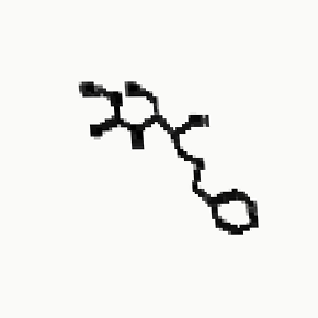 CC(C)CC(NC(=O)OC(C)(C)C)C(O)CSCc1ccccc1